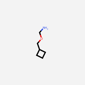 NCOCC1CCC1